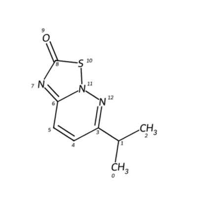 CC(C)c1ccc2nc(=O)sn2n1